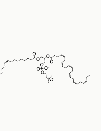 CC/C=C\C/C=C\C/C=C\C/C=C\C/C=C\C/C=C\CCC(=O)O[C@H](COC(=O)CCCCCCC/C=C\CCCCCC)COP(=O)([O-])OCC[N+](C)(C)C